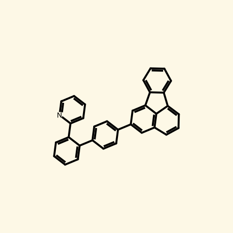 c1ccc(-c2ccccc2-c2ccc(-c3cc4c5c(cccc5c3)-c3ccccc3-4)cc2)nc1